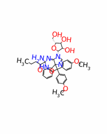 CCCC(=O)C1(N)N=C2N([C@@H]3O[C@H](CO)C(O)C3O)C=NC2(C(c2ccccc2)(c2ccc(OC)cc2)c2ccc(OC)cc2)C(=O)N1